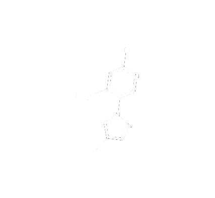 Cc1cnn(-c2cnc(Br)cc2C(=O)O)c1